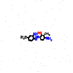 CC1=CC(=N)/C(=N\Nc2ccc(N)c(C)c2O)C=C1